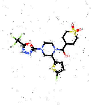 O=S1(=O)CCC(C(O)N2CCN(c3nnc(C(F)(F)F)o3)CC2c2ccc(F)s2)CC1